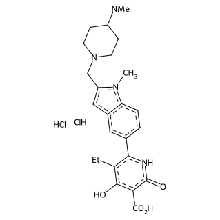 CCc1c(-c2ccc3c(c2)cc(CN2CCC(NC)CC2)n3C)[nH]c(=O)c(C(=O)O)c1O.Cl.Cl